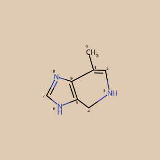 CC1=CNCc2[nH]cnc21